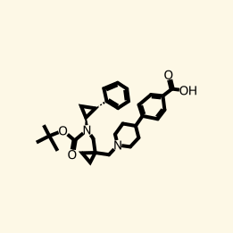 CC(C)(C)OC(=O)N(CC1(CN2CCC(c3ccc(C(=O)O)cc3)CC2)CC1)[C@H]1C[C@@H]1c1ccccc1